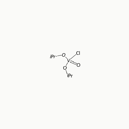 CC(C)[O][V](=[O])([Cl])[O]C(C)C